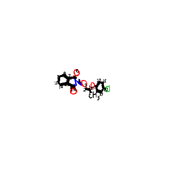 CC(CON1C(=O)c2ccccc2C1=O)Oc1ccc(Cl)cc1